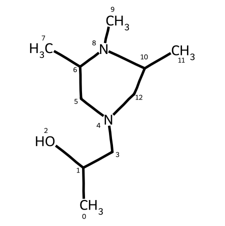 CC(O)CN1CC(C)N(C)C(C)C1